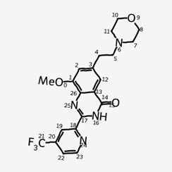 COc1cc(CCN2CCOCC2)cc2c(=O)[nH]c(-c3cc(C(F)(F)F)ccn3)nc12